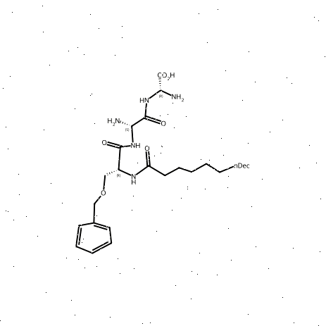 CCCCCCCCCCCCCCCC(=O)N[C@H](COCc1ccccc1)C(=O)N[C@H](N)C(=O)N[C@@H](N)C(=O)O